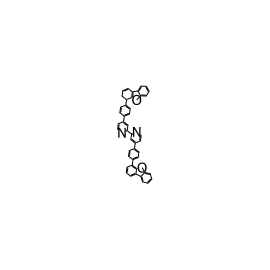 C1=Cc2c(oc3ccccc23)C(c2ccc(-c3ccnc(-c4cc(-c5ccc(-c6cccc7c6oc6ccccc67)cc5)ccn4)c3)cc2)C1